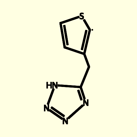 [c]1sccc1Cc1nnn[nH]1